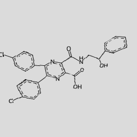 O=C(O)c1nc(-c2ccc(Cl)cc2)c(-c2ccc(Cl)cc2)nc1C(=O)NCC(O)c1ccccc1